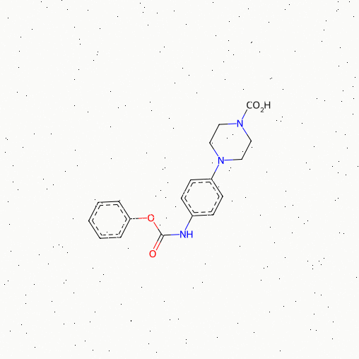 O=C(Nc1ccc(N2CCN(C(=O)O)CC2)cc1)Oc1ccccc1